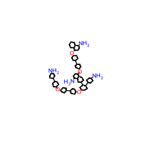 Nc1ccc(-c2ccc(Oc3ccc(-c4ccc(Oc5ccc(-c6ccc(N)cc6)c(-c6ccc7c(Oc8ccc(-c9ccc(Oc%10ccc(N)c%11ccccc%10%11)cc9)cc8)ccc(N)c7c6)c5)cc4)cc3)cc2)cc1